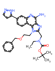 CCN(Cc1nc2c(N)nc3cc(-c4ccn[nH]4)ccc3c2n1CCOCc1ccccc1)C(=O)OC(C)(C)C